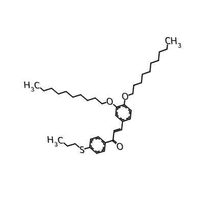 CCCCCCCCCCOc1ccc(/C=C/C(=O)c2ccc(SCCC)cc2)cc1OCCCCCCCCCC